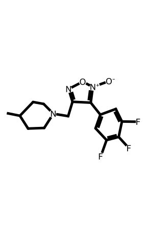 CC1CCN(Cc2no[n+]([O-])c2-c2cc(F)c(F)c(F)c2)CC1